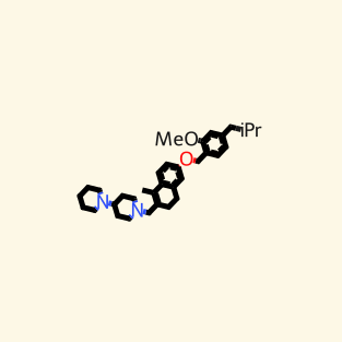 COc1cc(CC(C)C)ccc1COc1ccc2c(c1)CCC(CN1CCC(N3CCCCC3)CC1)=C2C